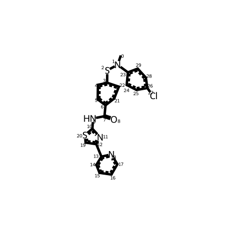 CN(Sc1ccc(C(=O)Nc2nc(-c3ccccn3)cs2)cc1)c1ccc(Cl)cc1